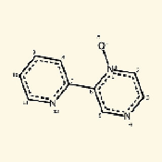 [O-][n+]1ccncc1-c1ccccn1